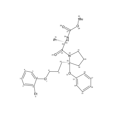 CCc1ccccc1OCCC[C@@]1(Oc2ccccc2)CCCN1C(=O)[C@@H](NC(=O)OC(C)(C)C)C(C)C